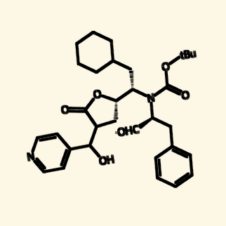 CC(C)(C)OC(=O)N([C@H]([C]=O)Cc1ccccc1)[C@@H](CC1CCCCC1)[C@@H]1CC(C(O)c2ccncc2)C(=O)O1